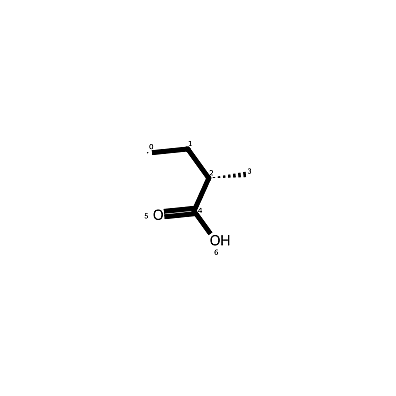 [CH2]C[C@H](C)C(=O)O